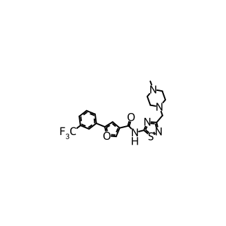 CN1CCN(Cc2nsc(NC(=O)c3coc(-c4cccc(C(F)(F)F)c4)c3)n2)CC1